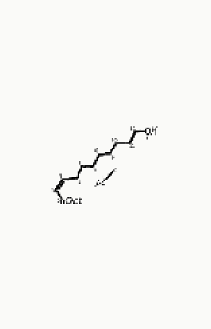 CC(C)=O.CCCCCCCC/C=C\CCCCCCCCO